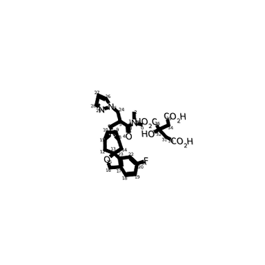 CN(C)C(=O)C(CN1C2CCC1CC1(C2)OCc2ccc(F)cc21)Cn1cccn1.O=C(O)CC(O)(CC(=O)O)C(=O)O